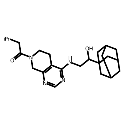 CC(C)CC(=O)N1CCc2c(ncnc2NCC(O)C23CC4CC(CC(C4)C2)C3)C1